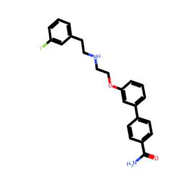 NC(=O)c1ccc(-c2cccc(OCCNCCc3cccc(F)c3)c2)cc1